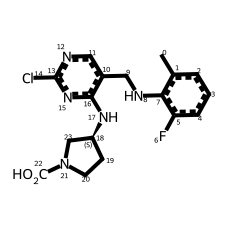 Cc1cccc(F)c1NCc1cnc(Cl)nc1N[C@H]1CCN(C(=O)O)C1